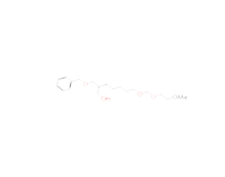 COCCOCOCCCCC[C@@H](CO)COCc1ccccc1